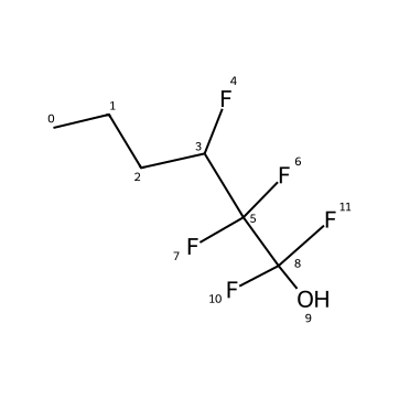 CCCC(F)C(F)(F)C(O)(F)F